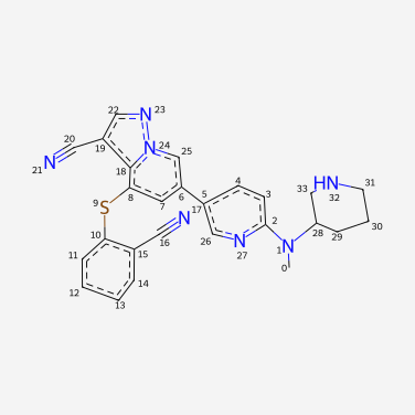 CN(c1ccc(-c2cc(Sc3ccccc3C#N)c3c(C#N)cnn3c2)cn1)C1CCCNC1